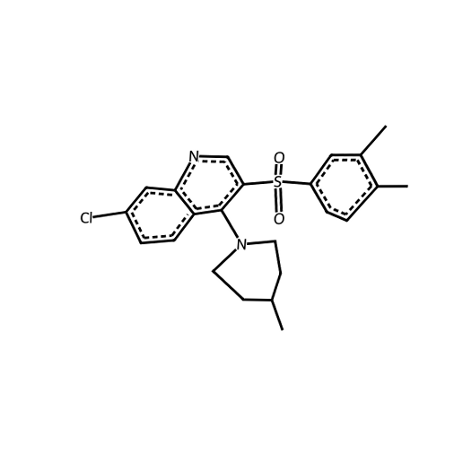 Cc1ccc(S(=O)(=O)c2cnc3cc(Cl)ccc3c2N2CCC(C)CC2)cc1C